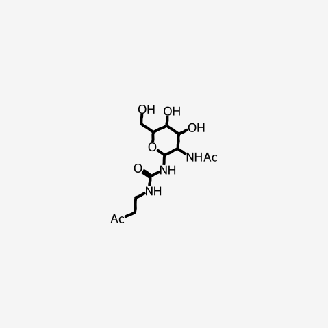 CC(=O)CCNC(=O)NC1OC(CO)C(O)C(O)C1NC(C)=O